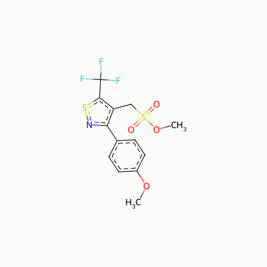 COc1ccc(-c2nsc(C(F)(F)F)c2CS(=O)(=O)OC)cc1